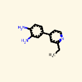 CCc1cc(-c2ccc(N)c(N)c2)ccn1